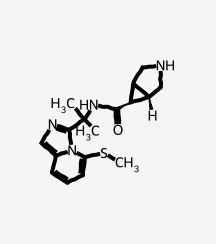 CSc1cccc2cnc(C(C)(C)NC(=O)[C@H]3C4CNC[C@@H]43)n12